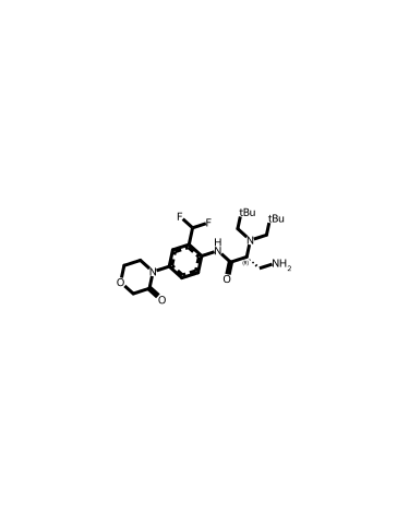 CC(C)(C)CN(CC(C)(C)C)[C@H](CN)C(=O)Nc1ccc(N2CCOCC2=O)cc1C(F)F